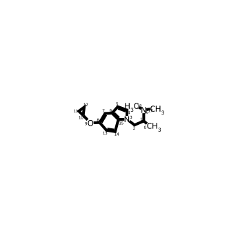 CC(Cn1ccc2cc(OC3CC3)ccc21)N(C)C